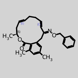 Cc1cc(C)c2c(c1)CC(=NOCc1ccccc1)/C=C/CC/C=C/C[C@H](C)OC2=O